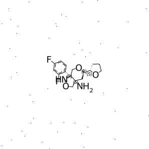 N[C@]12CON[C@@]1(c1ccc(F)cc1F)CO[C@@H]([C@@H]1CCCO1)C2